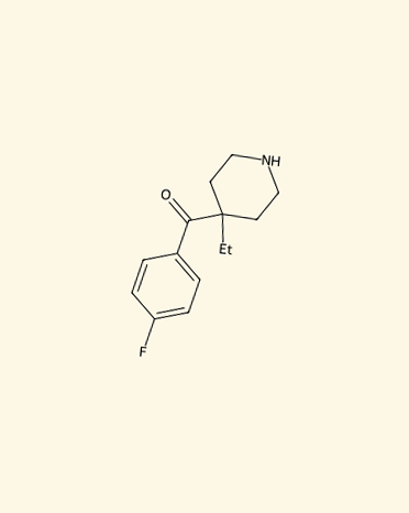 CCC1(C(=O)c2ccc(F)cc2)CCNCC1